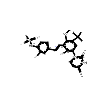 COc1c(C(C)(C)C)cc(-n2ccc(=O)[nH]c2=O)c(F)c1/C=C/c1ccc(NS(C)(=O)=O)c(F)c1